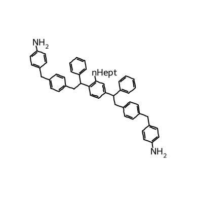 CCCCCCCc1cc(C(Cc2ccc(Cc3ccc(N)cc3)cc2)c2ccccc2)ccc1C(Cc1ccc(Cc2ccc(N)cc2)cc1)c1ccccc1